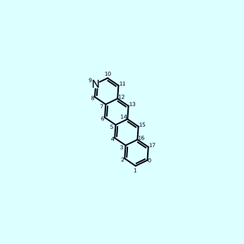 c1ccc2cc3cc4cnccc4cc3cc2c1